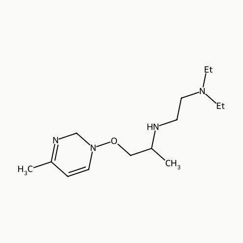 CCN(CC)CCNC(C)CON1C=CC(C)=NC1